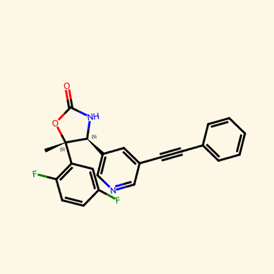 C[C@@]1(c2cc(F)ccc2F)OC(=O)N[C@H]1c1cncc(C#Cc2ccccc2)c1